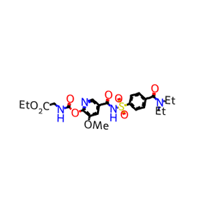 CCOC(=O)CNC(=O)Oc1ncc(C(=O)NS(=O)(=O)c2ccc(C(=O)N(CC)CC)cc2)cc1OC